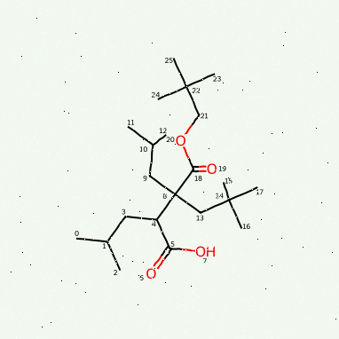 CC(C)CC(C(=O)O)C(CC(C)C)(CC(C)(C)C)C(=O)OCC(C)(C)C